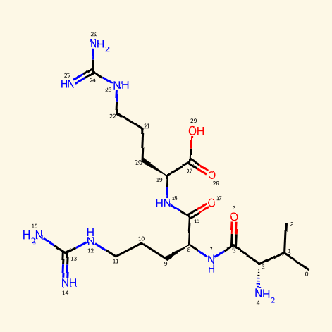 CC(C)[C@H](N)C(=O)N[C@@H](CCCNC(=N)N)C(=O)N[C@@H](CCCNC(=N)N)C(=O)O